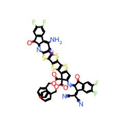 N#CC(C#N)=C1/C(=N/C2=Cc3sc4c(sc5c6sc(/N=C7/C(=O)c8cc(F)c(F)cc8/C7=C(\N)C#N)cc6sc45)c3C2(C(=O)OCc2ccccc2)C(=O)OCc2ccccc2)C(=O)c2cc(F)c(F)cc21